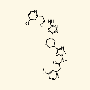 COc1ccnc(CC(=O)Nc2nnc([C@H]3CCC[C@H](c4nnc(NC(=O)Cc5cc(OC)ccn5)s4)C3)s2)c1